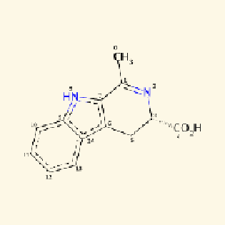 CC1=N[C@H](C(=O)O)Cc2c1[nH]c1ccccc21